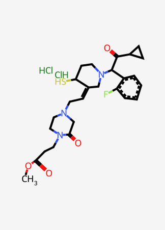 COC(=O)CCN1CCN(CC=C2CN(C(C(=O)C3CC3)c3ccccc3F)CCC2S)CC1=O.Cl.Cl